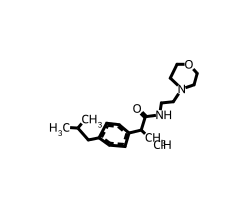 CC(C)Cc1ccc(C(C)C(=O)NCCN2CCOCC2)cc1.Cl